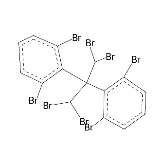 Brc1cccc(Br)c1C(c1c(Br)cccc1Br)(C(Br)Br)C(Br)Br